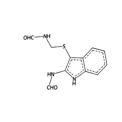 O=CNCSc1c(NC=O)[nH]c2ccccc12